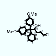 COc1ccc(C(c2ccccc2)(c2ccc(OC)cc2)C(O)CCCCl)cc1